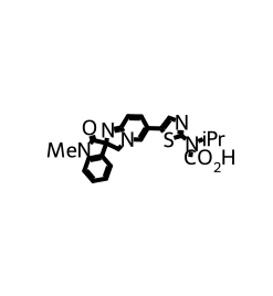 CNC(=O)C1(c2ccccc2)CN2C=C(c3cnc(N(C(=O)O)C(C)C)s3)C=CC2=N1